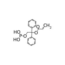 C=CC(=O)OC(COP(O)O)(c1ccccc1)c1ccccc1